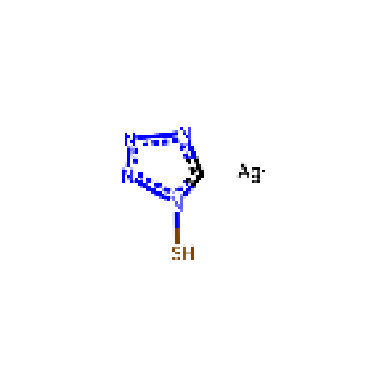 Sn1cnnn1.[Ag]